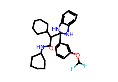 O=C(NC1CCCCC1)C(C1CCCCC1)C1(c2cccc(OC(F)F)c2)Nc2ccccc2N1